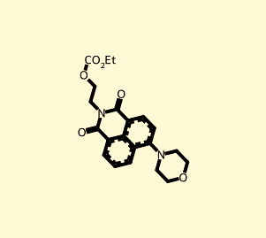 CCOC(=O)OCCN1C(=O)c2cccc3c(N4CCOCC4)ccc(c23)C1=O